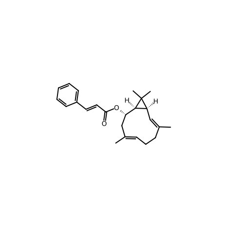 C/C1=C\[C@H]2[C@@H]([C@@H](OC(=O)/C=C/c3ccccc3)C/C(C)=C/CC1)C2(C)C